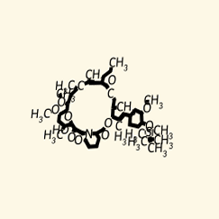 CCCC1/C=C(\C)CC(C)CC(OC)C2OC(O)(C(=O)C(=O)N3CCCCC3C(=O)OC(C(C)=CC3CCC(O[Si](C)(C)C(C)(C)C)C(OC)C3)C(C)CCC1=O)C(C)CC2OC